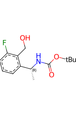 C[C@@H](NC(=O)OC(C)(C)C)c1cccc(F)c1CO